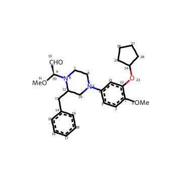 COc1ccc(N2CCN([C@H](C=O)OC)C(Cc3ccccc3)C2)cc1OC1CCCC1